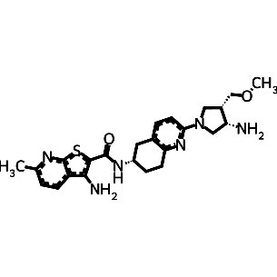 COC[C@H]1CN(c2ccc3c(n2)CC[C@H](NC(=O)c2sc4nc(C)ccc4c2N)C3)C[C@H]1N